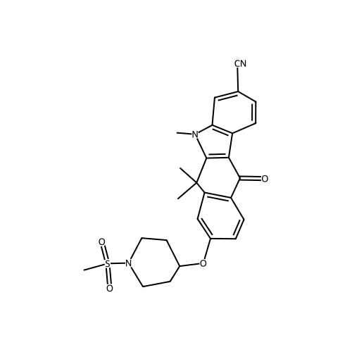 Cn1c2c(c3ccc(C#N)cc31)C(=O)c1ccc(OC3CCN(S(C)(=O)=O)CC3)cc1C2(C)C